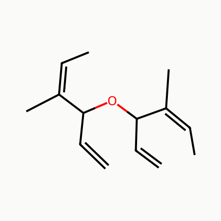 C=CC(OC(C=C)/C(C)=C\C)/C(C)=C\C